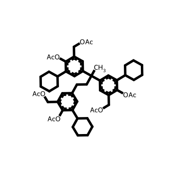 CC(=O)OCc1cc(CCC(C)(c2cc(COC(C)=O)c(OC(C)=O)c(C3CCCCC3)c2)c2cc(COC(C)=O)c(OC(C)=O)c(C3CCCCC3)c2)cc(C2CCCCC2)c1OC(C)=O